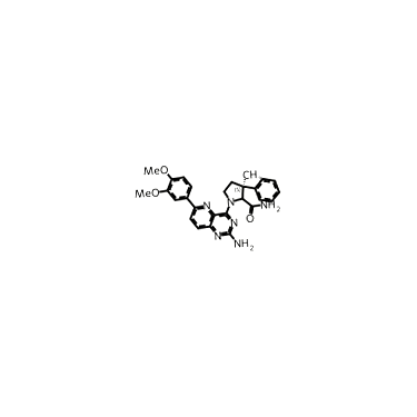 COc1ccc(-c2ccc3nc(N)nc(N4CC[C@@](C)(c5ccccc5)C4C(N)=O)c3n2)cc1OC